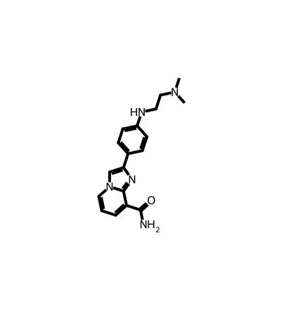 CN(C)CCNc1ccc(-c2cn3cccc(C(N)=O)c3n2)cc1